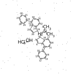 C[Si](C)=[Hf]([CH]1C=Cc2c(-c3ccccc3)cccc21)[CH]1C=Cc2c(-c3ccccc3)cccc21.Cl.Cl